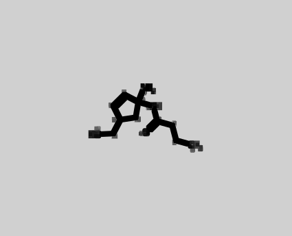 CCCC(=O)NC1(N)C=CC(CO)C1